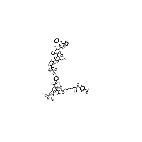 CC[C@H](C)[C@@H]([C@@H](CC(=O)N1CCC[C@H]1[C@H](OC)[C@@H](C)C(=O)N[C@@H](Cc1ccccc1)c1nccs1)OC)N(C)C(=O)[C@@H](NC(=O)C(C)(C)NC(=O)OCc1ccc(NC(=O)[C@H](CCCNC(N)=O)NC(=O)[C@@H](NC(=O)CCCCCNC(=O)c2cnc([S+]=O)cn2)C(C)C)cc1)C(C)C